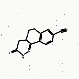 N#Cc1ccc2c(c1)CCC1CC(=O)NN=C21